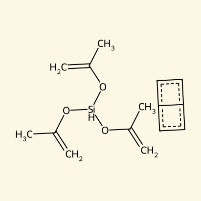 C=C(C)O[SiH](OC(=C)C)OC(=C)C.c1cc2ccc1-2